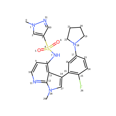 Cn1cc(S(=O)(=O)Nc2ccnc3c2c(-c2cc(N4CCCC4)ccc2F)cn3C)cn1